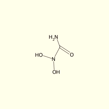 NC(=O)N(O)O